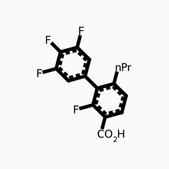 CCCc1ccc(C(=O)O)c(F)c1-c1cc(F)c(F)c(F)c1